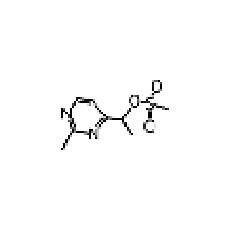 Cc1nccc(C(C)OS(C)(=O)=O)n1